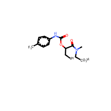 CC(C)CC(OC(=O)Nc1ccc(C(F)(F)F)cc1)C(=O)N(C)CC(=O)O